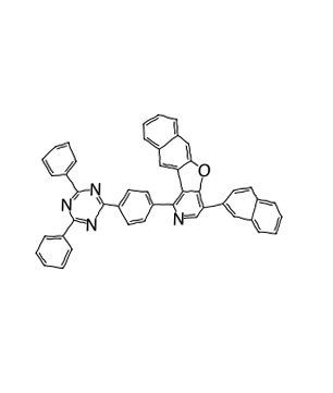 c1ccc(-c2nc(-c3ccccc3)nc(-c3ccc(-c4ncc(-c5ccc6ccccc6c5)c5oc6cc7ccccc7cc6c45)cc3)n2)cc1